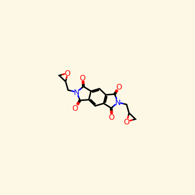 O=c1c2cc3c(=O)n(CC4CO4)c(=O)c3cc2c(=O)n1CC1CO1